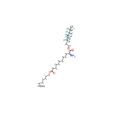 CCCCCCCCCCCCCCCCOC(=O)CCCCCCCCCC(N)C(=O)OCCC(F)(F)C(F)(F)C(F)(F)C(F)(F)C(F)(F)C(F)(F)F